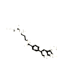 CC(C)(C)OC(=O)NCCCNC(=O)c1ccc(-c2cnc3[nH]cc(C#N)c3c2)cc1